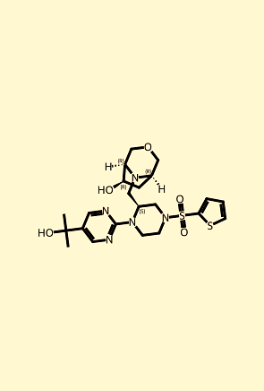 CC(C)(O)c1cnc(N2CCN(S(=O)(=O)c3cccs3)C[C@@H]2CN2[C@H]3COC[C@@H]2[C@H](O)C3)nc1